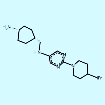 CC(C)C1CCN(c2ncc(NC[C@H]3CC[C@@H](N)CC3)cn2)CC1